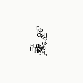 CNC(=O)[C@@H](NC(=O)c1ccc(-c2cccc(CNC(=O)c3cccc(F)n3)c2)o1)C(C)C